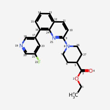 CCOC(=O)C1CCN(c2ccc3cccc(-c4cncc(F)c4)c3n2)CC1